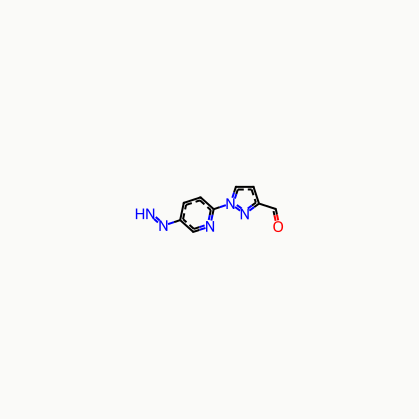 N=Nc1ccc(-n2ccc(C=O)n2)nc1